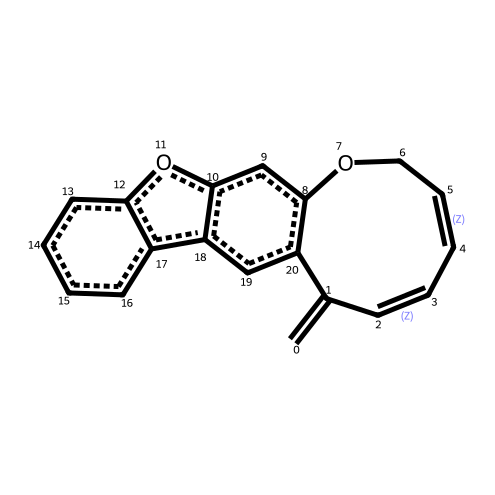 C=C1/C=C\C=C/COc2cc3oc4ccccc4c3cc21